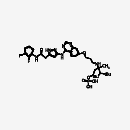 CC(C)(C)C(C(C)(C)C)C(C)(CCOP(=O)(O)O)NCCCOc1ccc2c(Nc3cc(CC(=O)Nc4cccc(F)c4F)[nH]n3)ncnc2c1